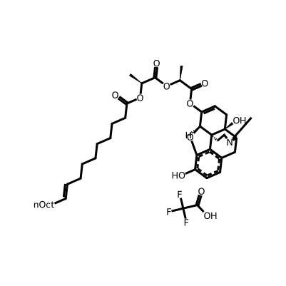 CCCCCCCCC=CCCCCCCCC(=O)O[C@@H](C)C(=O)O[C@@H](C)C(=O)OC1=CC[C@]2(O)C3Cc4ccc(O)c5c4[C@@]2(CCN3C)[C@H]1O5.O=C(O)C(F)(F)F